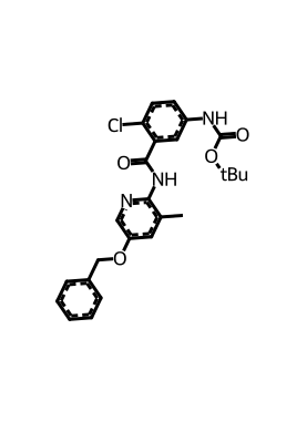 Cc1cc(OCc2ccccc2)cnc1NC(=O)c1cc(NC(=O)OC(C)(C)C)ccc1Cl